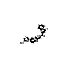 CC(C)(C)[C@H]1COC[C@@H](c2ccc3nc(CNC(=O)c4cc(=O)n5ccccc5n4)cn3c2)N1